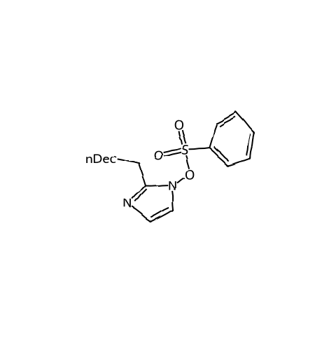 CCCCCCCCCCCc1nccn1OS(=O)(=O)c1ccccc1